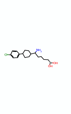 NC(CCCCB(O)O)C1CCC(c2ccc(Cl)cc2)CC1